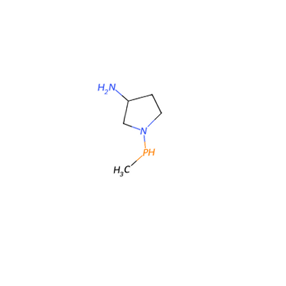 CPN1CCC(N)C1